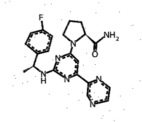 C[C@H](Nc1nc(-c2cnccn2)cc(N2CCC[C@H]2C(N)=O)n1)c1ccc(F)cc1